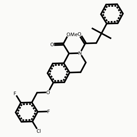 COC(=O)C1c2ccc(OCc3c(F)ccc(Cl)c3F)cc2CCN1C(=O)CC(C)(C)c1ccccc1